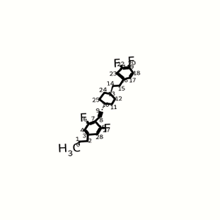 CCCc1cc(F)c(C#C[C@H]2CC[C@H](CCc3ccc(F)c(F)c3)CC2)c(F)c1